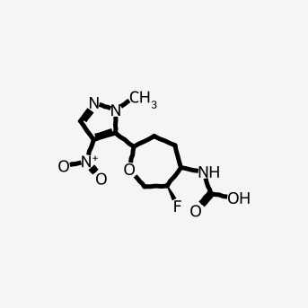 Cn1ncc([N+](=O)[O-])c1C1CCC(NC(=O)O)[C@@H](F)CO1